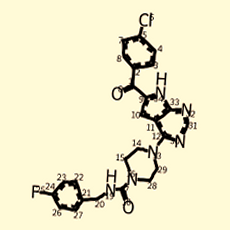 O=C(c1ccc(Cl)cc1)c1cc2c(N3CCN(C(=O)NCc4ccc(F)cc4)CC3)ncnc2[nH]1